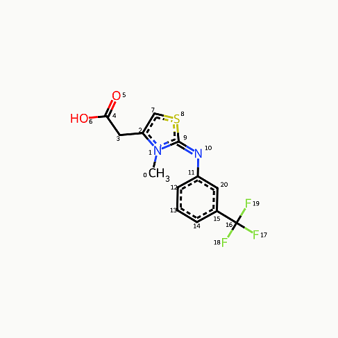 Cn1c(CC(=O)O)cs/c1=N/c1cccc(C(F)(F)F)c1